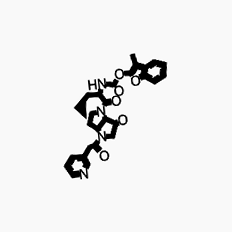 Cc1c(OC(=O)NC(CC2CC2)C(=O)N2CCC3C2C(=O)CN3C(=O)Cc2cccnc2)oc2ccccc12